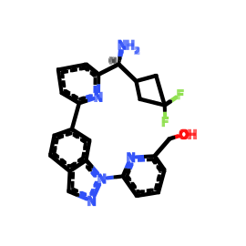 N[C@H](c1cccc(-c2ccc3cnn(-c4cccc(CO)n4)c3c2)n1)C1CC(F)(F)C1